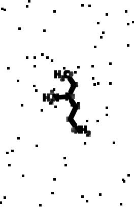 CCN(N)CCN